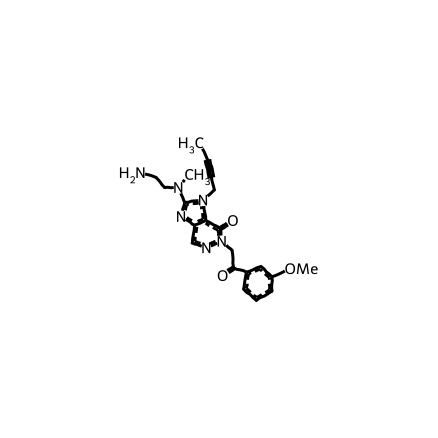 CC#CCn1c(N(C)CCN)nc2cnn(CC(=O)c3cccc(OC)c3)c(=O)c21